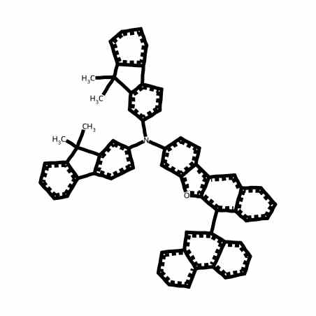 CC1(C)c2ccccc2-c2ccc(N(c3ccc4c(c3)C(C)(C)c3ccccc3-4)c3ccc4c(c3)oc3c(-c5cc6ccccc6c6ccccc56)c5ccccc5cc34)cc21